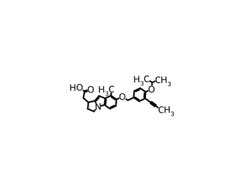 CC#Cc1cc(COc2ccc3c(cc4n3CCC4CC(=O)O)c2C)ccc1OC(C)C